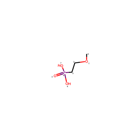 COCCP(=O)(O)O